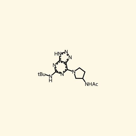 CC(=O)NC1CCN(c2nc(NC(C)(C)C)nc3[nH]nnc23)C1